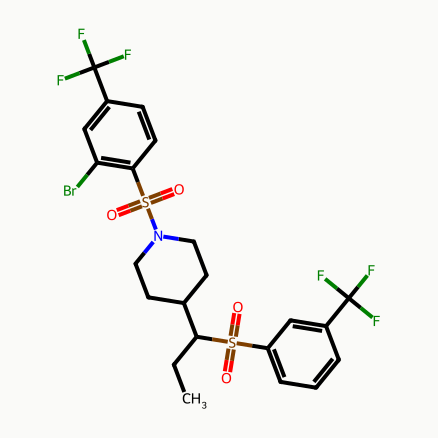 CCC(C1CCN(S(=O)(=O)c2ccc(C(F)(F)F)cc2Br)CC1)S(=O)(=O)c1cccc(C(F)(F)F)c1